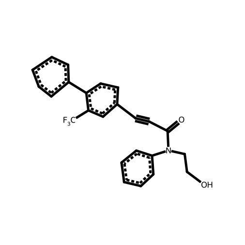 O=C(C#Cc1ccc(-c2ccccc2)c(C(F)(F)F)c1)N(CCO)c1ccccc1